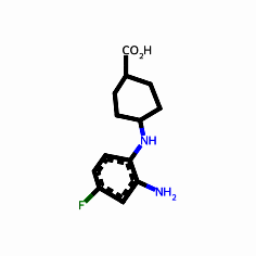 Nc1cc(F)ccc1NC1CCC(C(=O)O)CC1